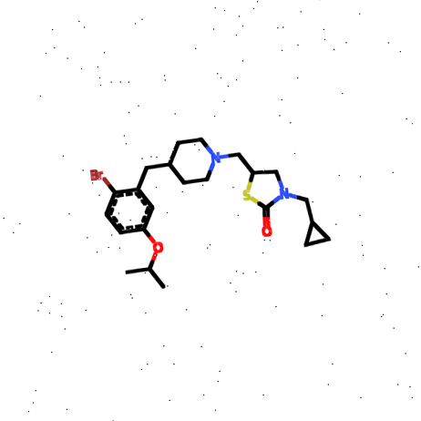 CC(C)Oc1ccc(Br)c(CC2CCN(CC3CN(CC4CC4)C(=O)S3)CC2)c1